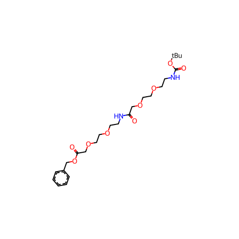 CC(C)(C)OC(=O)NCCOCCOCC(=O)NCCOCCOCC(=O)OCc1ccccc1